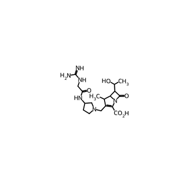 CC(O)C1C(=O)N2C(C(=O)O)=C(CN3CCC(NC(=O)CNC(=N)N)C3)C(C)C12